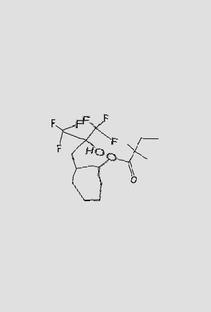 CCC(C)(C)C(=O)OC1CCCCC1CC(O)(C(F)(F)F)C(F)(F)F